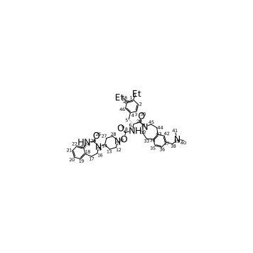 CCc1ccc(C[C@@H](NC(=O)ON2CCC(N3CCc4ccccc4NC3=O)CC2)C(=O)N2CCc3ccc(CN(C)C)cc3CC2)cc1CC